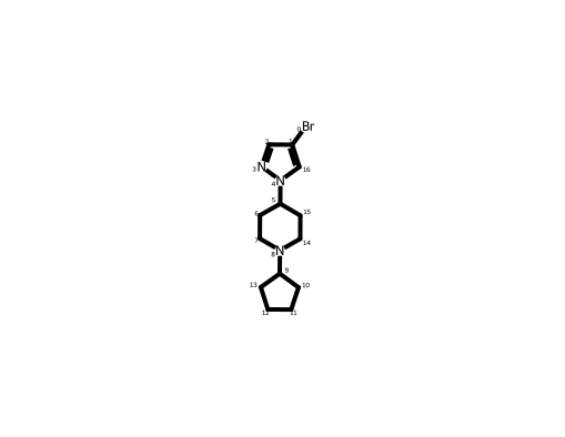 Brc1cnn(C2CCN(C3CCCC3)CC2)c1